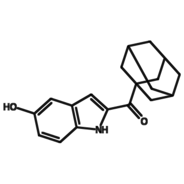 O=C(c1cc2cc(O)ccc2[nH]1)C12CC3CC(CC(C3)C1)C2